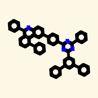 c1ccc(-c2cc(-c3ccccc3)cc(-c3nc(-c4ccccc4)nc(-c4ccc(-c5ccc6nc(-c7ccccc7)c7cccc(-c8ccccc8)c7c6c5)cc4)n3)c2)cc1